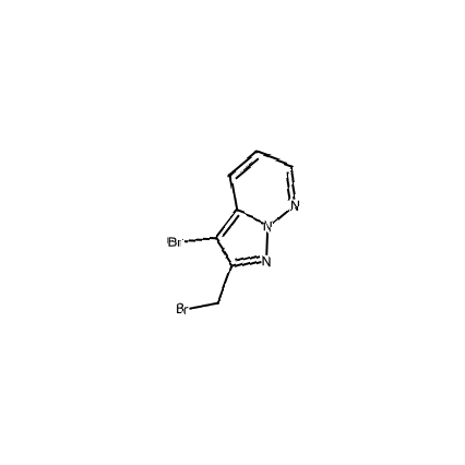 BrCc1nn2ncccc2c1Br